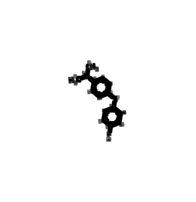 CN(C)c1ccc(Sc2ccc(F)cc2)cc1